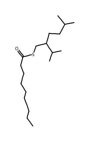 CCCCCCCCC(=O)SCC(CCC(C)C)C(C)C